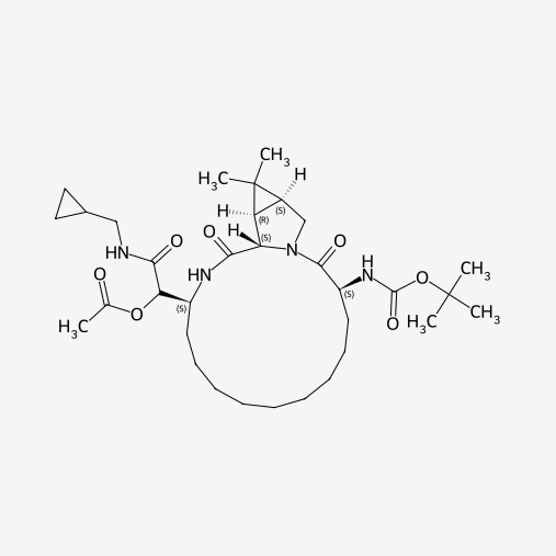 CC(=O)OC(C(=O)NCC1CC1)[C@@H]1CCCCCCCCC[C@H](NC(=O)OC(C)(C)C)C(=O)N2C[C@H]3[C@@H]([C@H]2C(=O)N1)C3(C)C